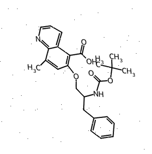 Cc1cc(OCC(Cc2ccccc2)NC(=O)OC(C)(C)C)c(C(=O)O)c2cccnc12